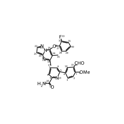 COc1ccc(-c2cccc(C(N)=O)n2)cc1C=O.Cc1nc2ccnn2c(Oc2ccccc2F)c1C